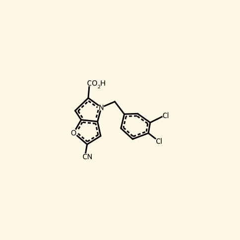 N#Cc1cc2c(cc(C(=O)O)n2Cc2ccc(Cl)c(Cl)c2)o1